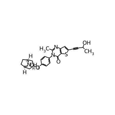 Cc1nc2cc(C#CC(C)O)sc2c(=O)n1-c1ccc(O[C@H]2C[C@H]3CC[C@@H](C2)N3C)cc1